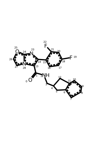 O=C(NCC1Cc2ccccc2C1)c1c(-c2ccc(F)cc2F)nc2occn12